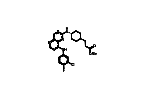 COC(=O)CC[C@H]1CC[C@H](Nc2ncc3ncnc(Nc4ccc(F)c(Cl)c4)c3n2)CC1